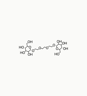 OCC1O[C@H](OCCOCCOCCO[C@H]2OC(CO)[C@@H](O)[C@H](O)C2O)C(O)[C@@H](O)[C@@H]1O